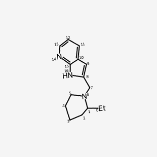 CCC1CCCCN1Cc1cc2cccnc2[nH]1